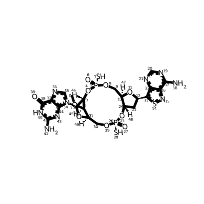 CO[C@H]1[C@H]2O[P@](=O)(S)OC[C@H]3O[C@@H](c4snc5c(N)ncnc45)C[C@@H]3O[P@](=O)(S)OC[C@H]1O[C@H]2n1cnc2c(=O)[nH]c(N)nc21